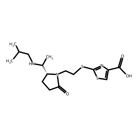 CC(C)CNC(C)[C@H]1CCC(=O)N1CCSc1nc(C(=O)O)cs1